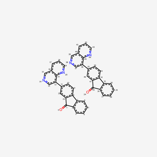 O=C1c2ccccc2-c2ccc(-c3cncc4cccnc34)cc21.O=C1c2ccccc2-c2ccc(-c3cncc4cccnc34)cc21